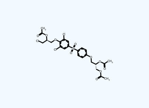 CC(=O)OC[C@H](COc1ccc(S(=O)(=O)c2cc(Cl)c(OC[C@@H](CCl)OC(C)=O)c(Cl)c2)cc1)OC(C)=O